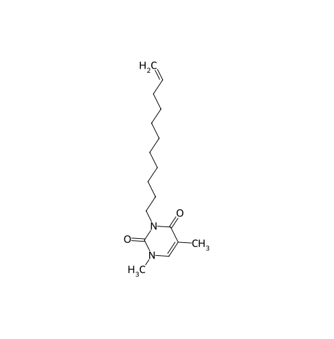 C=CCCCCCCCCCn1c(=O)c(C)cn(C)c1=O